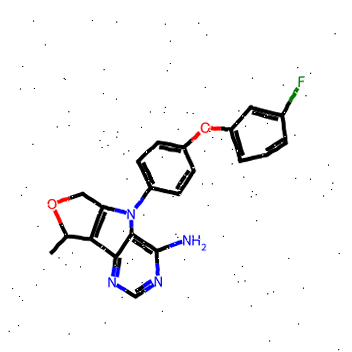 CC1OCc2c1c1ncnc(N)c1n2-c1ccc(Oc2cccc(F)c2)cc1